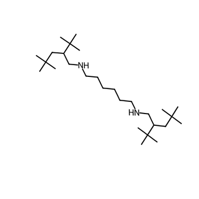 CC(C)(C)CC(CNCCCCCCNCC(CC(C)(C)C)C(C)(C)C)C(C)(C)C